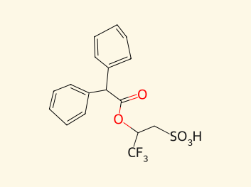 O=C(OC(CS(=O)(=O)O)C(F)(F)F)C(c1ccccc1)c1ccccc1